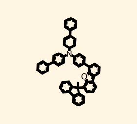 CC1(c2cccc3c2oc2c(-c4ccc(N(c5ccc(-c6ccccc6)cc5)C5C=CC(c6ccccc6)=CC5)cc4)cccc23)c2ccccc2-c2ccccc21